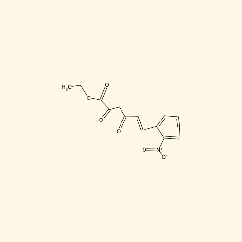 CCOC(=O)C(=O)CC(=O)/C=C/c1ccccc1[N+](=O)[O-]